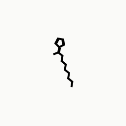 CCCCCCCCC(C)=C1C=CC=C1